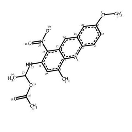 COc1ccc2nc3c(C)cc(NC(C)OC(C)=O)c([N+](=O)[O-])c3cc2c1